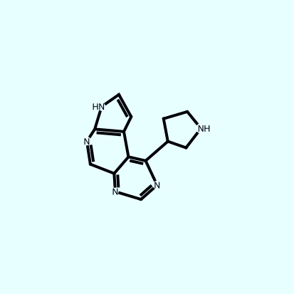 c1nc(C2CCNC2)c2c(cnc3[nH]ccc32)n1